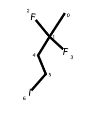 CC(F)(F)CCI